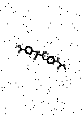 COC(=O)Nc1ccc(C[C@H](N)C(=O)Nc2ccc(C(=O)O)cc2)cc1